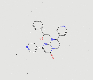 O=c1cc(-c2ccncc2)nc2n1CCC(c1ccncc1)N2CC(O)c1ccccc1